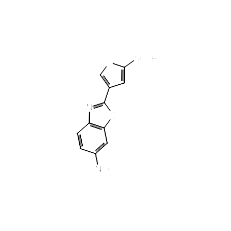 O=[N+]([O-])c1ccc2nc(-c3csc(S(=O)(=O)O)c3)sc2c1